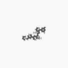 Cc1cc(F)cc(-c2nccc3[nH]c(-c4n[nH]c5ncc(-c6cncc(CN7CCCC7)c6)cc45)cc23)c1